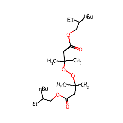 CCCCC(CC)COC(=O)CC(C)(C)OOC(C)(C)CC(=O)OCC(CC)CCCC